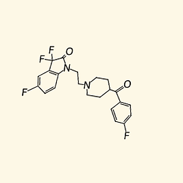 O=C(c1ccc(F)cc1)C1CCN(CCN2C(=O)C(F)(F)c3cc(F)ccc32)CC1